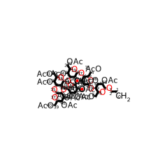 C=CCO[C@@H]1OC(COC(C)=O)[C@@H](O[C@@H]2OC(COC(C)=O)[C@H](O[C@H]3OC(COC(C)=O)[C@H](OC(C)=O)[C@H](O[C@@H]4OC(COC(C)=O)[C@H](OC(C)=O)[C@H](O[C@@H]5OC(COC(C)=O)[C@H](OC(C)=O)[C@H](OC(C)=O)C5O[C@@H]5OC(C)[C@H](OC(C)=O)C(OC(C)=O)[C@H]5OC(C)=O)C4NC(C)=O)C3OC(C)=O)[C@H](OC(C)=O)C2OC(C)=O)[C@H](OC(C)=O)C1OC(C)=O